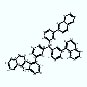 c1cc(-c2ccc3ccccc3c2)cc(N(c2cccc(-c3cccc4ccccc34)c2)c2cccc(-c3cccc4oc5c6ccccc6ccc5c34)c2)c1